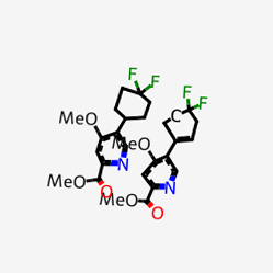 COC(=O)c1cc(OC)c(C2=CCC(F)(F)CC2)cn1.COC(=O)c1cc(OC)c(C2CCC(F)(F)CC2)cn1